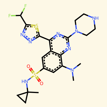 CN(C)c1cc(S(=O)(=O)NC2(C)CC2)cc2c(-c3nnc(C(F)F)s3)nc(N3CCNCC3)nc12